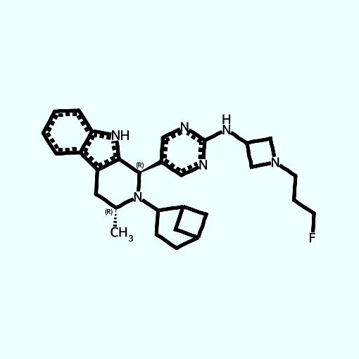 C[C@@H]1Cc2c([nH]c3ccccc23)[C@@H](c2cnc(NC3CN(CCCF)C3)nc2)N1C1CCC2CC1C2